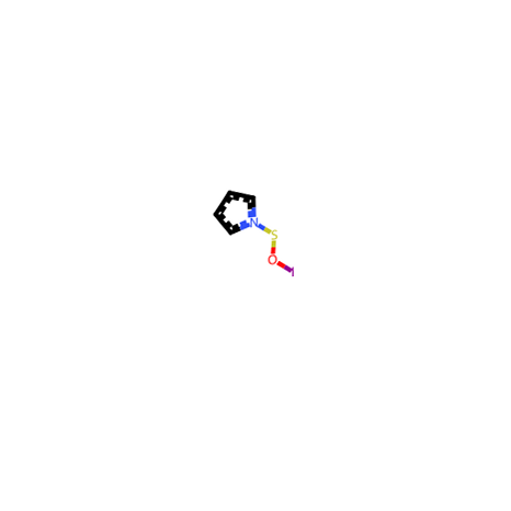 IOSn1cccc1